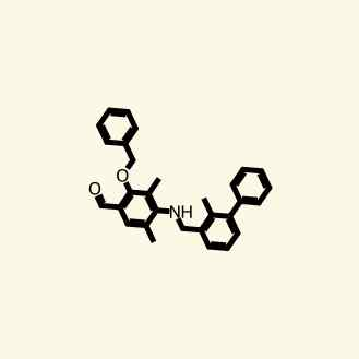 Cc1cc(C=O)c(OCc2ccccc2)c(C)c1NCc1cccc(-c2ccccc2)c1C